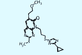 COCCc1cc2cnc(SC)nc2n(CCCSn2cnc(C3CC3)n2)c1=O